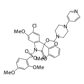 COc1ccc(S(=O)(=O)N2C(=O)C(OC(=O)N3CCN(c4ccncc4)CC3)(c3ccccc3OC)c3cc(Cl)c(OC)cc32)c(OC)c1